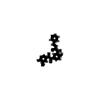 Cc1ccc(NC(=O)c2ccc(C)c(NC(=O)C=Cc3cccnc3)c2)cc1Br